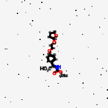 CC(C)(C)OC(=O)N[C@H](C(=O)O)c1ccc(OCCOC2CCCO2)cc1